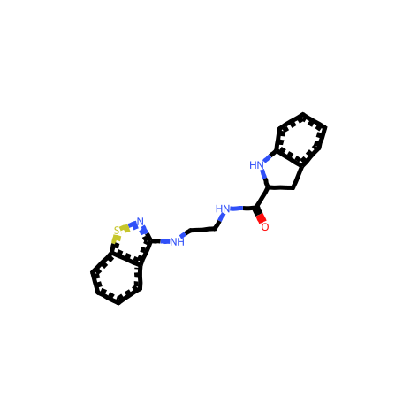 O=C(NCCNc1nsc2ccccc12)C1Cc2ccccc2N1